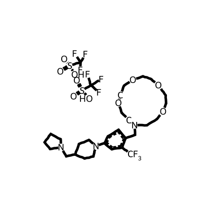 FC(F)(F)c1cc(N2CCC(CN3CCCC3)CC2)ccc1CN1CCOCCOCCOCCOCC1.O=S(=O)(O)C(F)(F)F.O=S(=O)(O)C(F)(F)F